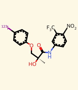 C[C@](O)(COc1ccc([123I])cc1)C(=O)Nc1ccc([N+](=O)[O-])c(C(F)(F)F)c1